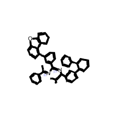 CC(C)=C(/N=C(\N=C(/C)c1ccccc1)c1cccc(-c2cccc3oc4c(c23)CCC=C4)c1)c1cccc(-c2ccccc2-c2ccccc2)c1